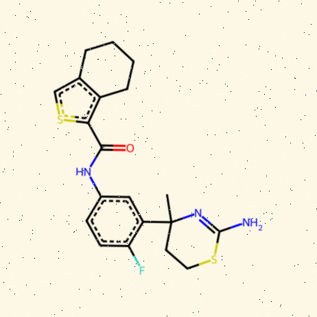 CC1(c2cc(NC(=O)c3scc4c3CCCC4)ccc2F)CCSC(N)=N1